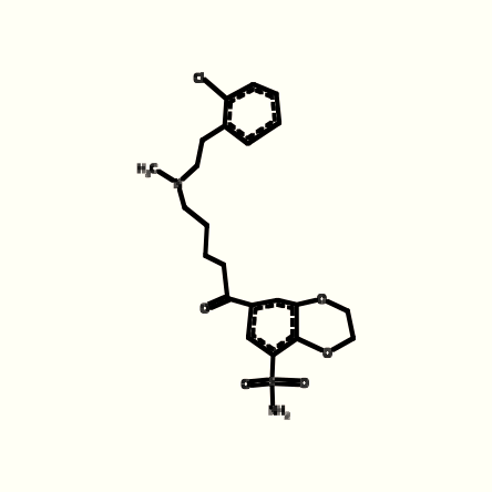 CN(CCCCC(=O)c1cc2c(c(S(N)(=O)=O)c1)OCCO2)CCc1ccccc1Cl